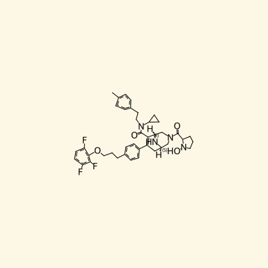 Cc1ccc(CCN(C(=O)C2=C(c3ccc(CCCOc4c(F)ccc(F)c4F)cc3)C[C@H]3CN(C(=O)C4CCCN4O)C[C@@H]2N3)C2CC2)cc1